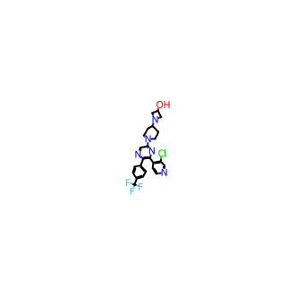 OC1CN(C2CCN(c3cnc(-c4ccc(C(F)(F)F)cc4)c(-c4ccncc4Cl)n3)CC2)C1